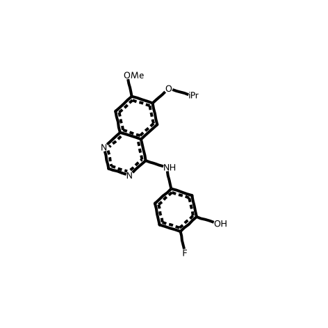 COc1cc2ncnc(Nc3ccc(F)c(O)c3)c2cc1OC(C)C